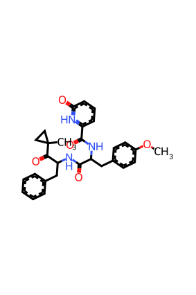 COc1ccc(CC(NC(=O)c2cccc(=O)[nH]2)C(=O)NC(Cc2ccccc2)C(=O)C2(C)CC2)cc1